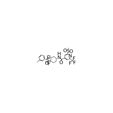 Cc1cccc(S(=O)(=O)[C@]2(F)CC[C@H](NC(=O)c3cc(C(F)(F)F)nc(S(C)(=O)=O)c3)CC2)c1